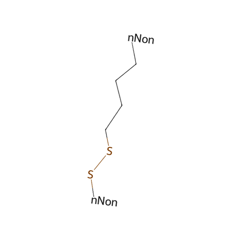 CCCCCCCCCCCCCSSCCCCCCCCC